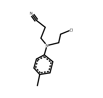 Cc1ccc(N(CCCl)CCC#N)cc1